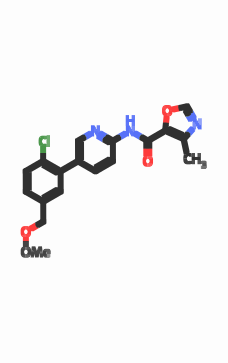 COOCc1ccc(Cl)c(-c2ccc(NC(=O)c3ocnc3C)nc2)c1